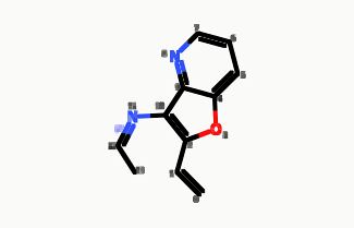 C=Cc1oc2cccnc2c1/N=C\C